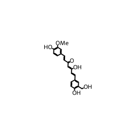 COc1cc(/C=C/C(=O)/C=C(O)/C=C/c2ccc(O)c(CO)c2)ccc1O